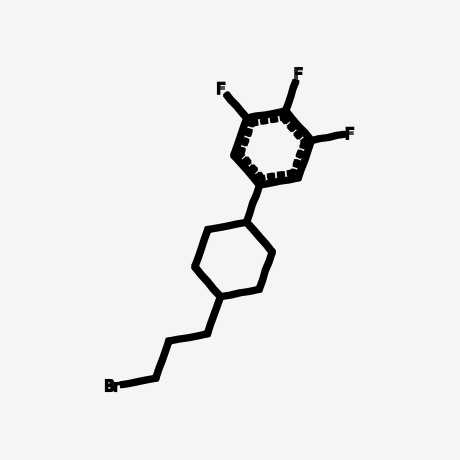 Fc1cc(C2CCC(CCCBr)CC2)cc(F)c1F